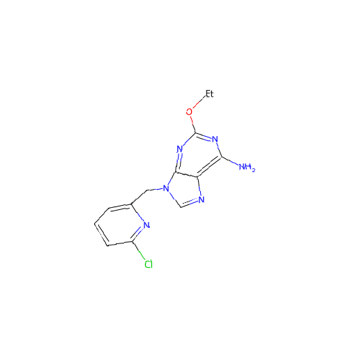 CCOc1nc(N)c2ncn(Cc3cccc(Cl)n3)c2n1